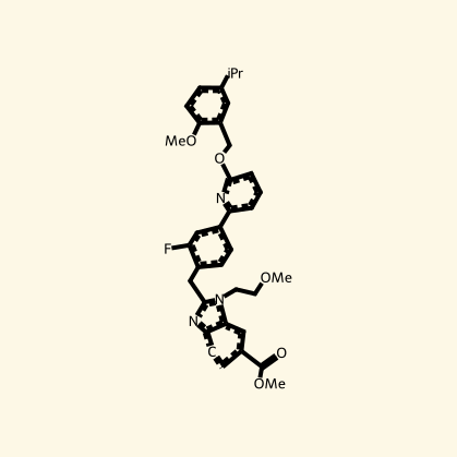 COCCn1c(Cc2ccc(-c3cccc(OCc4cc(C(C)C)ccc4OC)n3)cc2F)nc2ccc(C(=O)OC)cc21